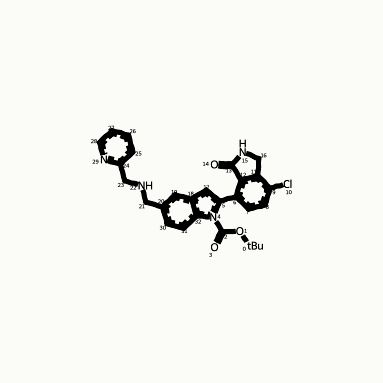 CC(C)(C)OC(=O)n1c(-c2ccc(Cl)c3c2C(=O)NC3)cc2cc(CNCc3ccccn3)ccc21